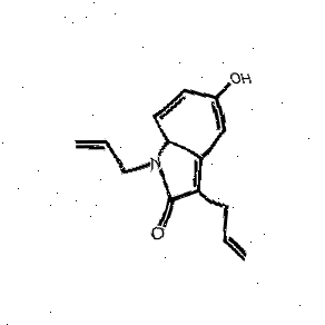 C=CCC1=C2C=C(O)C=CC2N(CC=C)C1=O